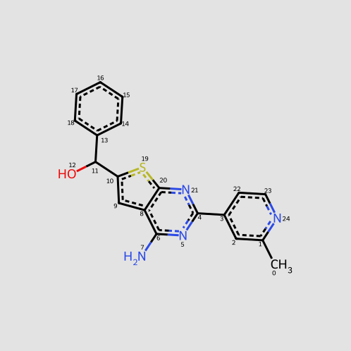 Cc1cc(-c2nc(N)c3cc(C(O)c4ccccc4)sc3n2)ccn1